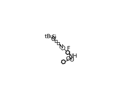 CC(C)(C)[Si](C)(C)OC1CC2(C1)CC(N1CCC(c3ccc(NC(=O)OCc4ccccc4)cc3F)CC1)C2